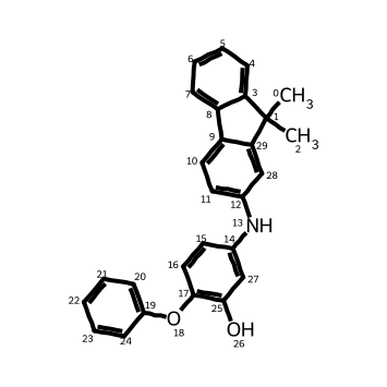 CC1(C)c2ccccc2-c2ccc(Nc3ccc(Oc4ccccc4)c(O)c3)cc21